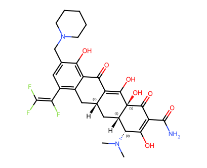 CN(C)[C@H]1C(O)=C(C(N)=O)C(=O)[C@@]2(O)C(O)=C3C(=O)c4c(O)c(CN5CCCCC5)cc(C(F)=C(F)F)c4C[C@H]3C[C@@H]12